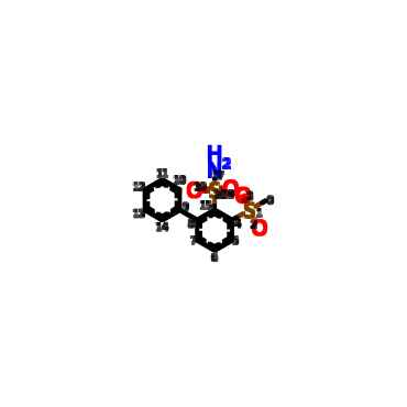 CS(=O)(=O)c1cccc(-c2ccccc2)c1S(N)(=O)=O